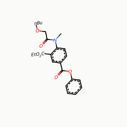 CCCCOCC(=O)N(C)c1ccc(C(=O)Oc2ccccc2)cc1C(=O)OCC